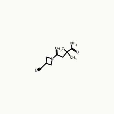 CC(C)(CC(=O)N1CC(C#N)C1)C(N)=O